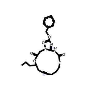 CCCC1C/C=C/CCCCC(=O)N/C(=N/C(=O)OCc2ccccc2)N(C)CC(=O)O1